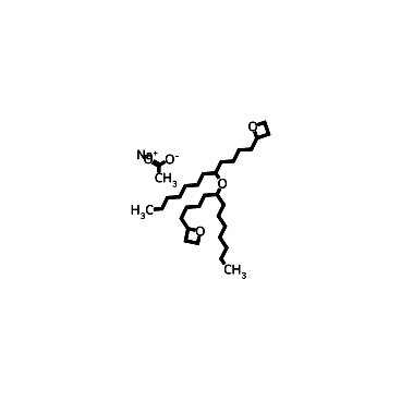 CC(=O)[O-].CCCCCCCC(CCCCC1CCO1)OC(CCCCCCC)CCCCC1CCO1.[Na+]